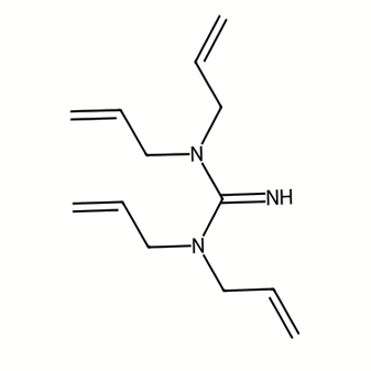 C=CCN(CC=C)C(=N)N(CC=C)CC=C